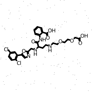 O=C(O)COCCOCCNCCC(NCc1ncc(-c2cc(Cl)ccc2Cl)o1)C(=O)Nc1ccccc1C(=O)O